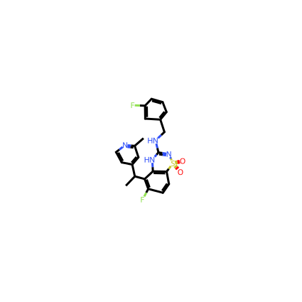 Cc1cc(C(C)c2c(F)ccc3c2NC(NCc2cccc(F)c2)=NS3(=O)=O)ccn1